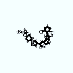 Cc1c(-c2c(Cl)cccc2Cl)nc2c3cc(-c4cnn([C@H]5CC[C@H](O[Si](C)(C)C(C)(C)C)CC5)c4)cnc3ccn12